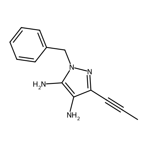 CC#Cc1nn(Cc2ccccc2)c(N)c1N